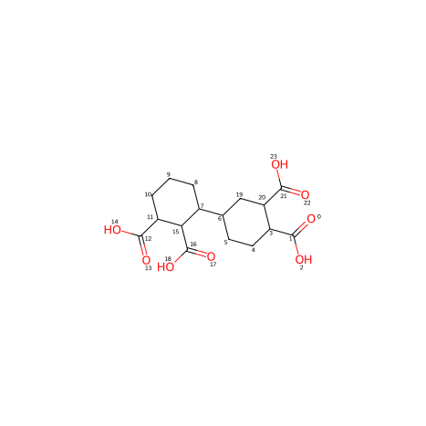 O=C(O)C1CCC(C2CCCC(C(=O)O)C2C(=O)O)CC1C(=O)O